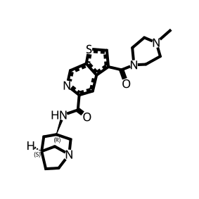 CN1CCN(C(=O)c2csc3cnc(C(=O)N[C@@H]4C[C@@H]5CCN(C5)C4)cc23)CC1